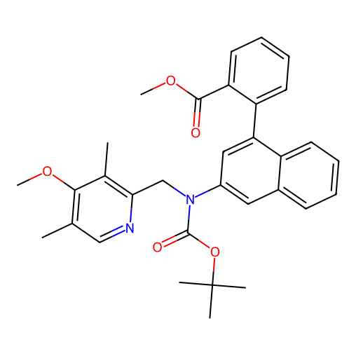 COC(=O)c1ccccc1-c1cc(N(Cc2ncc(C)c(OC)c2C)C(=O)OC(C)(C)C)cc2ccccc12